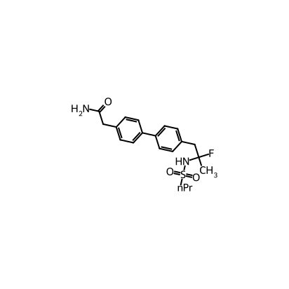 CCCS(=O)(=O)NC(C)(F)Cc1ccc(-c2ccc(CC(N)=O)cc2)cc1